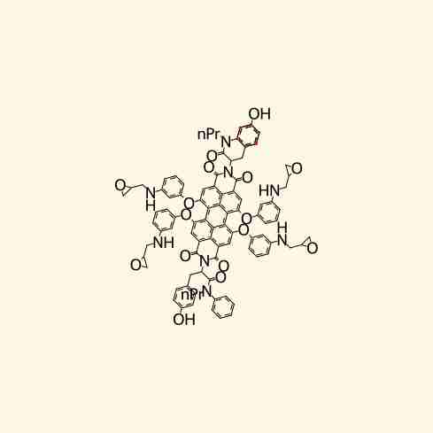 CCCN(C(=O)C(Cc1ccc(O)cc1)N1C(=O)c2cc(Oc3cccc(NCC4CO4)c3)c3c4c(Oc5cccc(NCC6CO6)c5)cc5c6c(cc(Oc7cccc(NCC8CO8)c7)c(c7c(Oc8cccc(NCC9CO9)c8)cc(c2c37)C1=O)c64)C(=O)N(C(Cc1ccc(O)cc1)C(=O)N(CCC)c1ccccc1)C5=O)c1ccccc1